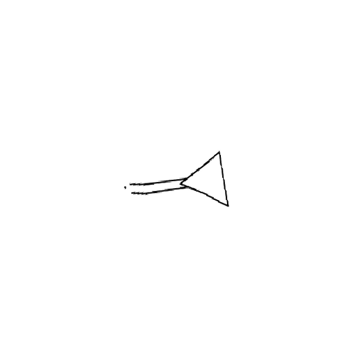 [CH]=C1CC1